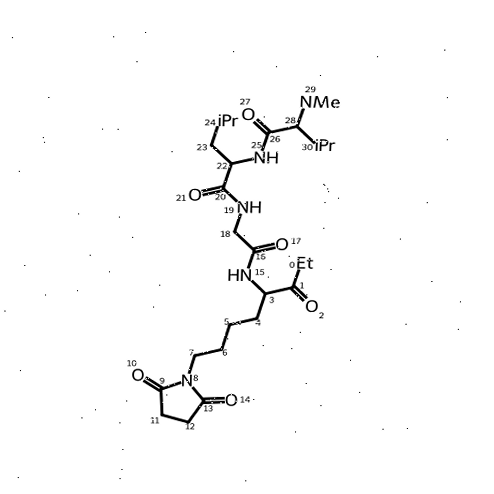 CCC(=O)C(CCCCN1C(=O)CCC1=O)NC(=O)CNC(=O)C(CC(C)C)NC(=O)C(NC)C(C)C